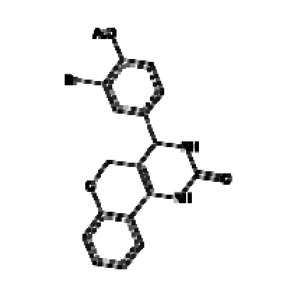 CC(=O)Oc1ccc(C2NC(=O)NC3=C2COc2ccccc23)cc1Br